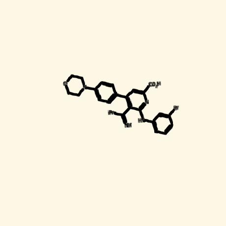 CC(C)C(=N)c1c(-c2ccc(N3CCOCC3)cc2)cc(C(=O)O)nc1Nc1cccc(Br)c1